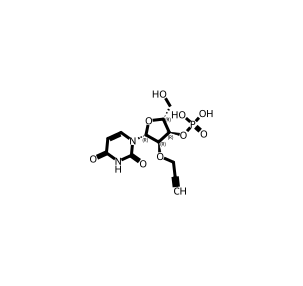 C#CCO[C@@H]1[C@H](OP(=O)(O)O)[C@@H](CO)O[C@H]1n1ccc(=O)[nH]c1=O